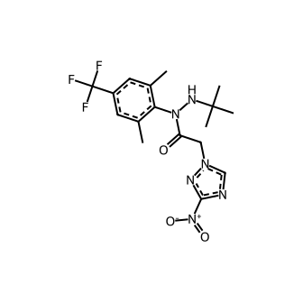 Cc1cc(C(F)(F)F)cc(C)c1N(NC(C)(C)C)C(=O)Cn1cnc([N+](=O)[O-])n1